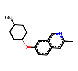 Cc1cc2ccc(O[C@H]3CC[C@H](C(C)(C)C)CC3)cc2cn1